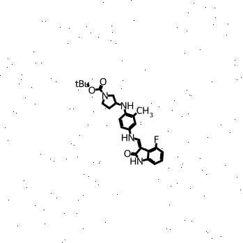 Cc1cc(NC=C2C(=O)Nc3cccc(F)c32)ccc1NC1CCN(C(=O)OC(C)(C)C)C1